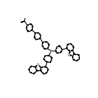 C=C(C)c1ccc(-c2ccc(-c3ccc(N(c4ccc(-c5cccc6c5oc5ccccc56)cc4)c4ccc(-c5cccc6c5oc5ccccc56)cc4)cc3)cc2)cc1